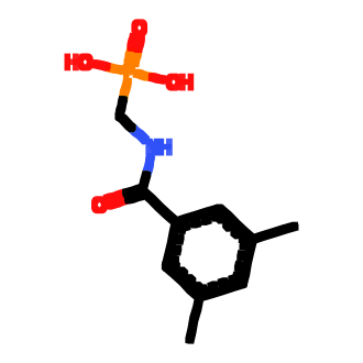 Cc1cc(C)cc(C(=O)NCP(=O)(O)O)c1